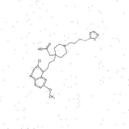 COc1ccc2ncc(Cl)c(CCCC3(CC(=O)O)CCN(CCCCc4cccs4)CC3)c2c1